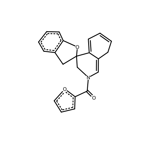 O=C(c1ccco1)N1C=C2CC=CC=C2C2(Cc3ccccc3O2)C1